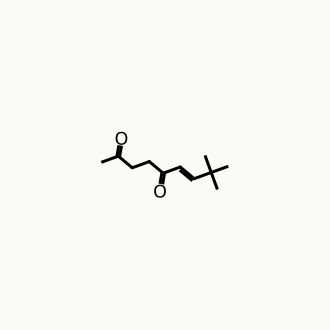 CC(=O)CCC(=O)/C=C/C(C)(C)C